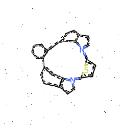 c1ccc2c3ccc4ccn(c5ccc(s5)n5ccc6ccc(cc65)c2c1)c4c3